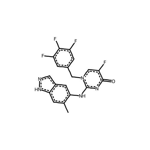 Cc1cc2[nH]ncc2cc1Nc1nc(=O)c(F)cn1Cc1cc(F)c(F)c(F)c1